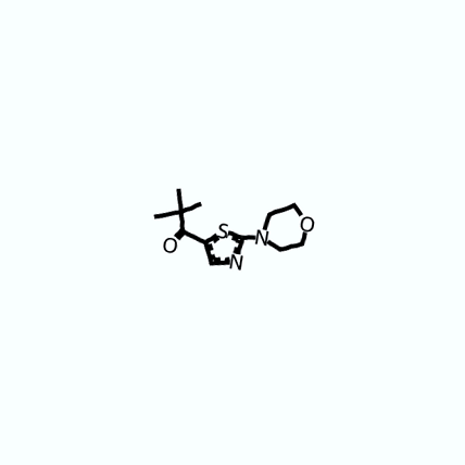 CC(C)(C)C(=O)c1cnc(N2CCOCC2)s1